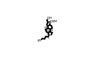 CO/N=C1\CC[C@H]2[C@@H]3CC[C@H]([C@H](C)CCCC(C)C)[C@@]3(C)CC[C@@H]2[C@@]1(C)CCCO